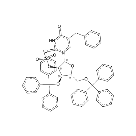 CS(=O)(=O)O[C@@H]1[C@H](OC(c2ccccc2)(c2ccccc2)c2ccccc2)[C@@H](COC(c2ccccc2)(c2ccccc2)c2ccccc2)O[C@H]1n1cc(Cc2ccccc2)c(=O)[nH]c1=O